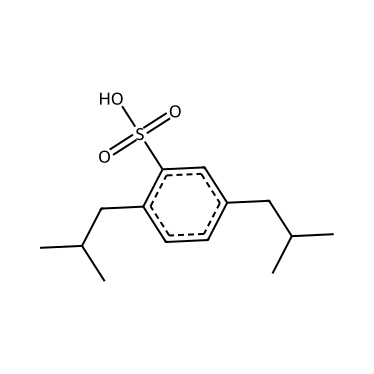 CC(C)Cc1ccc(CC(C)C)c(S(=O)(=O)O)c1